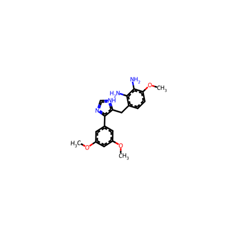 COc1cc(OC)cc(-c2nc[nH]c2Cc2ccc(OC)c(N)c2N)c1